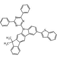 CC1(C)c2ccccc2-c2cc3c4cc(-c5cc6ccccc6s5)ccc4n(-c4nc(-c5ccccc5)nc(-c5ccccc5)n4)c3cc21